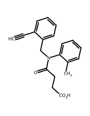 C#Cc1ccccc1CN(C(=O)CCC(=O)O)c1ccccc1C